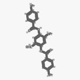 CCCc1ccc(C(=O)Oc2cc(CCC)c(OC(=O)c3ccc(CCC)cc3)cc2C=O)cc1